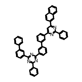 c1ccc(-c2cccc(-c3nc(-c4ccccc4)nc(-c4cccc(-c5cccc(-c6cc(-c7ccc8ccccc8c7)nc(-c7ccccc7)n6)c5)c4)n3)c2)cc1